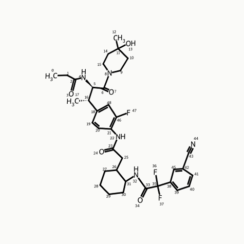 CCC(=O)N[C@@H](C(=O)N1CCC(C)(O)CC1)[C@@H](C)c1ccc(NC(=O)CC2CCCCC2NC(=O)C(F)(F)c2cccc(C#N)c2)c(F)c1